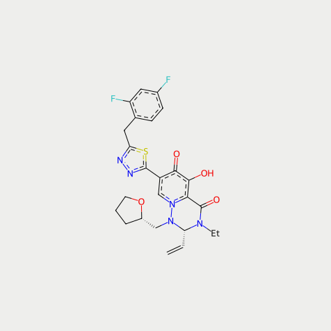 C=C[C@H]1N(CC)C(=O)c2c(O)c(=O)c(-c3nnc(Cc4ccc(F)cc4F)s3)cn2N1C[C@@H]1CCCO1